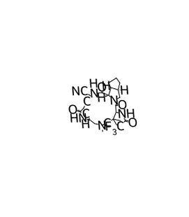 CN1C[C@@H]2CC(C[C@@H](C#N)NC(=O)[C@@H]3[C@H]4CCC[C@H]4CN3C(=O)[C@@H](NC(=O)C(F)(F)F)C(C)(C)C1)C(=O)N2